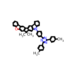 Cc1ccc(-c2nc(-c3ccc(C)cc3)nc(-c3ccc(-n4c5ccccc5c5cc6c(cc54)C(C)(C)c4cc5oc7ccccc7c5cc4-6)cc3)n2)cc1